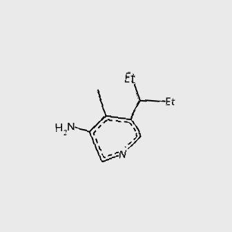 CCC(CC)c1cncc(N)c1C